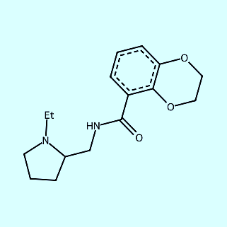 CCN1CCCC1CNC(=O)c1cccc2c1OCCO2